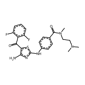 CN(C)CCN(C)C(=O)c1ccc(Nc2nc(N)c(C(=O)c3c(F)cccc3F)s2)cc1